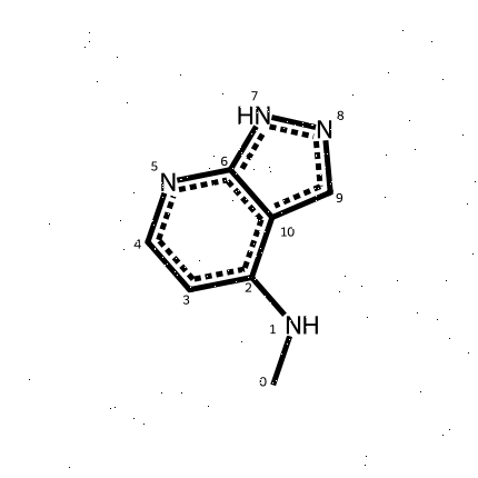 CNc1ccnc2[nH]ncc12